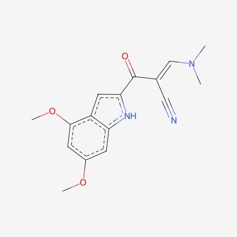 COc1cc(OC)c2cc(C(=O)C(C#N)=CN(C)C)[nH]c2c1